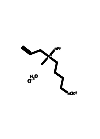 C=CC[N+](C)(CCC)CCCCCCCCCCCC.O.[Cl-]